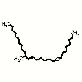 CCCCCC=CC=C=CCCCCCCC(C)CCCCCCCCCC